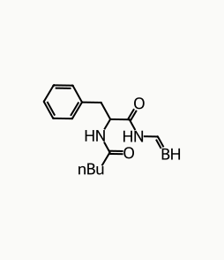 B=CNC(=O)C(Cc1ccccc1)NC(=O)CCCC